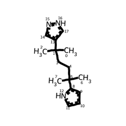 CC(C)(CCC(C)(C)c1ccc[nH]1)c1cn[nH]c1